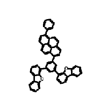 c1ccc(-c2ccc3ccc4c(-c5cc(-c6cccc7c6oc6ccccc67)cc(-c6cccc7c6oc6ccccc67)c5)ccc5ccc2c3c54)cc1